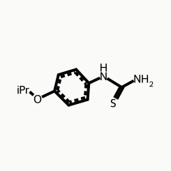 CC(C)Oc1ccc(NC(N)=S)cc1